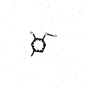 CCCOc1ccc(C)cc1Br